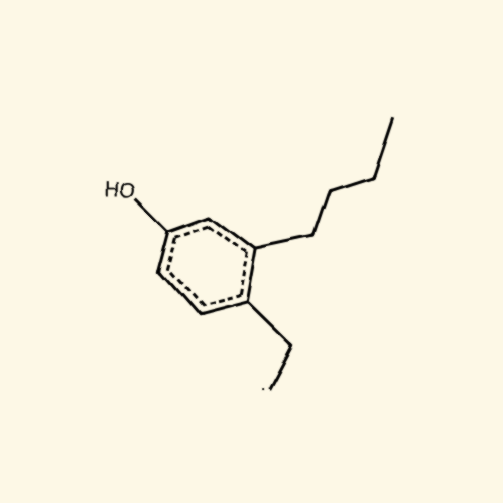 [CH2]Cc1ccc(O)cc1CCCC